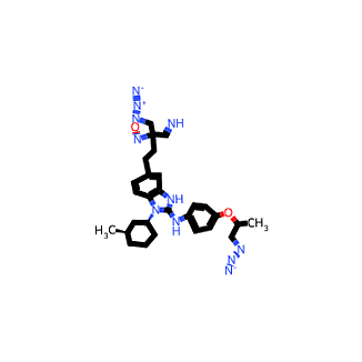 CC(CN=[N+]=[N-])Oc1ccc(NC2Nc3cc(CCC(C=N)(CN=[N+]=[N-])N=O)ccc3N2[C@H]2CCC[C@@H](C)C2)cc1